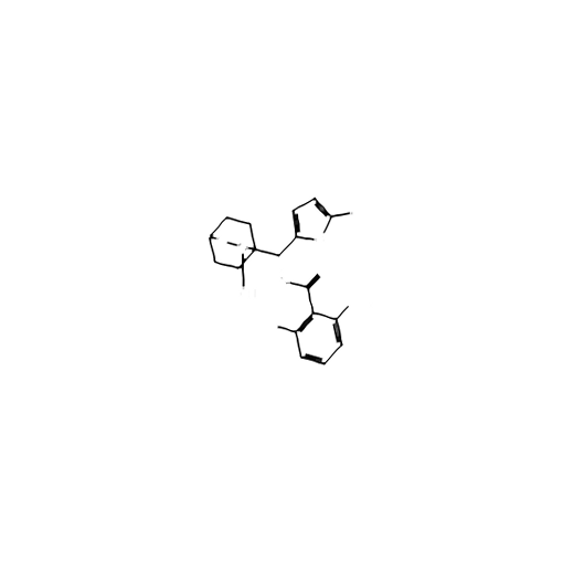 Cc1ccc([C@H](NC(=O)c2c(C)cccc2C)C23CCC(CC2)CN3C)o1